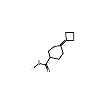 CCNC(=O)C1CCC(=C2CCC2)CC1